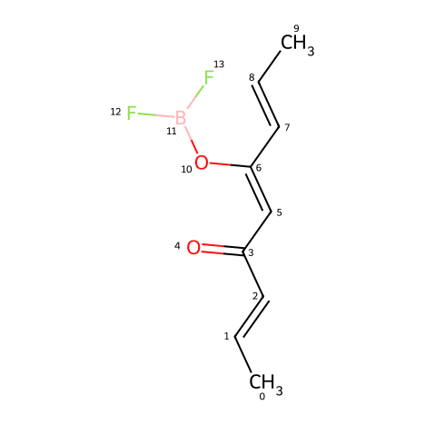 C/C=C/C(=O)/C=C(/C=C/C)OB(F)F